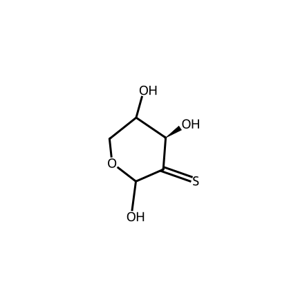 OC1OCC(O)[C@@H](O)C1=S